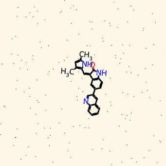 Cc1cc(C)c(/C=C2\C(=O)Nc3ccc(-c4cnc5ccccc5c4)cc32)[nH]1